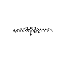 CCCCCCCC(=O)OCC(=O)[C@H](O)[C@H](O)[C@H](O)COC(=O)CCCCCCC